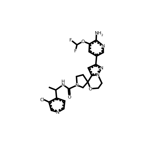 CC(NC(=O)N1CCC2(C1)OCCn1nc(-c3cnc(N)c(OC(F)F)c3)cc12)c1ccncc1Cl